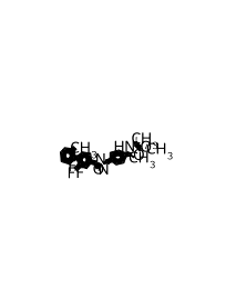 COC(=O)[C@@H](C)N[C@@H](C)c1ccc(-c2noc(-c3ccc(-c4ccccc4C)c(C(F)(F)F)c3)n2)cc1